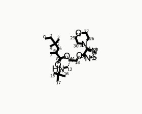 CCC(C)(C)CC(C)C(=O)O[C@@H](CNC(C)(C)C)COc1nsnc1N1CCOCC1